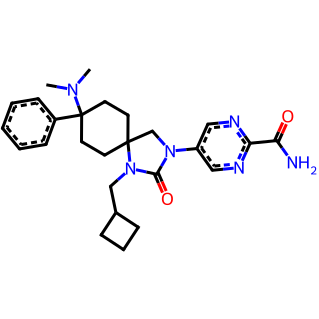 CN(C)C1(c2ccccc2)CCC2(CC1)CN(c1cnc(C(N)=O)nc1)C(=O)N2CC1CCC1